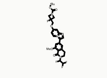 COc1cc(-c2cnc3cc(OCC4(F)CN(C(=O)OC(C)(C)C)C4)ccn23)cc2c1C(=O)N(C(F)C(F)F)CC2